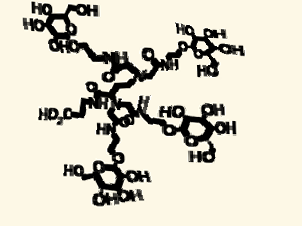 O=C(O)CCNC(=O)C(CCN(CC(=O)NCCO[C@H]1O[C@H](CO)[C@@H](O)[C@H](O)[C@@H]1O)CC(=O)NCCO[C@H]1O[C@H](CO)[C@@H](O)[C@H](O)[C@@H]1O)N(CC(=O)NCCO[C@H]1O[C@H](CO)[C@@H](O)[C@H](O)[C@@H]1O)CC(=O)NCCO[C@@H]1O[C@@H](CO)[C@H](O)[C@@H](O)[C@H]1O